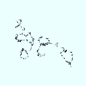 CN1CCN(CCOc2ccc(-c3nc4c(OC5(C)CC5)ncnc4n3Cc3ccccc3)c(CO)c2)CC1